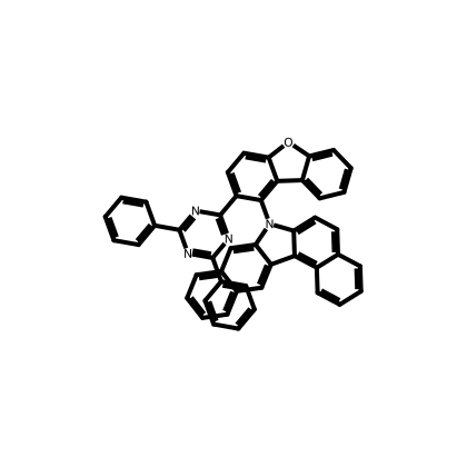 c1ccc(-c2nc(-c3ccccc3)nc(-c3ccc4oc5ccccc5c4c3-n3c4cc5ccccc5cc4c4c5ccccc5ccc43)n2)cc1